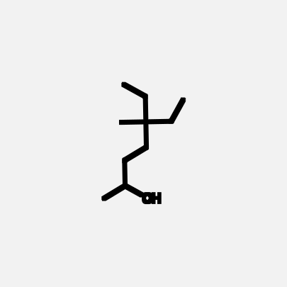 CCC(C)(CC)CCC(C)O